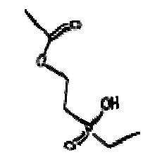 CCP(=O)(O)CCOC(C)=O